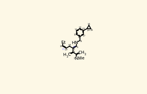 C=C(NC)C(=C)/C(=C/NCc1cccc(C2CC2)c1)C/C=C\CC